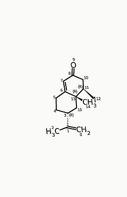 C=C(C)[C@@H]1CCC2=CC(=O)C[C@@H](I)[C@]2(C)C1